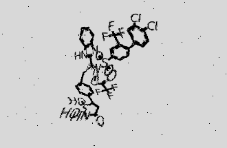 O=C1CC(c2ccc(C[C@@H](c3nc4ccccc4[nH]3)N(OC(=O)C(F)(F)F)S(=O)(=O)c3ccc(-c4ccc(Cl)c(Cl)c4)c(C(F)(F)F)c3)cc2)S(O)(O)N1